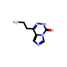 CCCc1n[nH]c(=O)n2cncc12